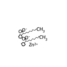 CCCCCCCCCC(C(=O)[O-])c1ccccc1.CCCCCCCCCC(C(=O)[O-])c1ccccc1.[Zn+2]